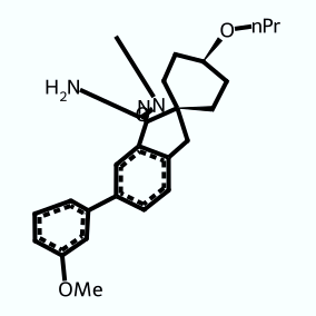 CCCO[C@H]1CC[C@@]2(CC1)Cc1ccc(-c3cccc(OC)c3)cc1C21N=C(N)N(C)O1